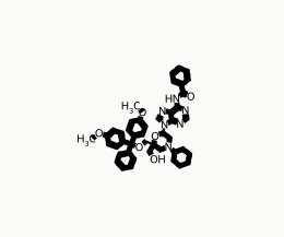 COc1ccc(C(OC[C@]2(CO)CN(C3CCCCC3)C[C@H](n3cnc4c(NC(=O)c5ccccc5)ncnc43)O2)(c2ccccc2)c2ccc(OC)cc2)cc1